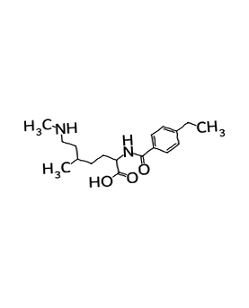 CCc1ccc(C(=O)NC(CCC(C)CCNC)C(=O)O)cc1